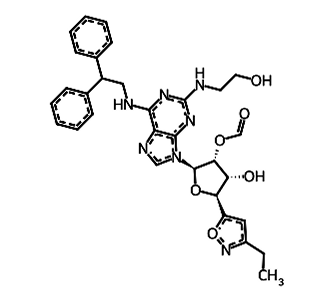 CCc1cc([C@H]2O[C@@H](n3cnc4c(NCC(c5ccccc5)c5ccccc5)nc(NCCO)nc43)[C@H](OC=O)[C@@H]2O)on1